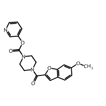 COc1ccc2cc(C(=O)N3CCN(C(=O)Oc4cccnc4)CC3)oc2c1